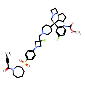 CC#CC(=O)N1CCCC[C@@H](S(=O)(=O)c2ccc(N3CC(F)(CN4CCC([C@@](CN5CCC5)(c5cccc(F)c5)[C@H]5CCC[C@@H]5NC(=O)OC)CC4)C3)cc2)C1